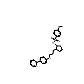 COc1ccc(S(=O)(=O)NN2CCCC2CCCOc2ccc(-c3ccccn3)cc2)cc1